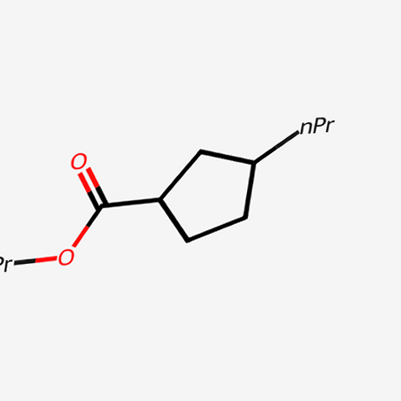 CCCOC(=O)C1CCC(CCC)C1